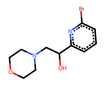 OC(CN1CCOCC1)c1cccc(Br)n1